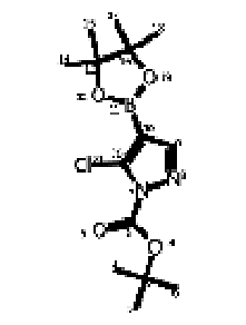 CC(C)(C)OC(=O)n1ncc(B2OC(C)(C)C(C)(C)O2)c1Cl